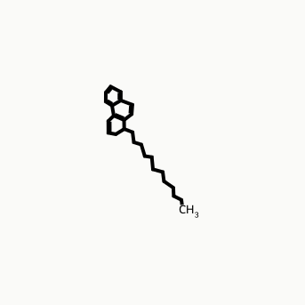 CCCCCCCCCCCCC1CC=Cc2c1ccc1ccccc21